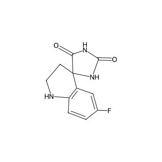 O=C1NC(=O)C2(CCNc3ccc(F)cc32)N1